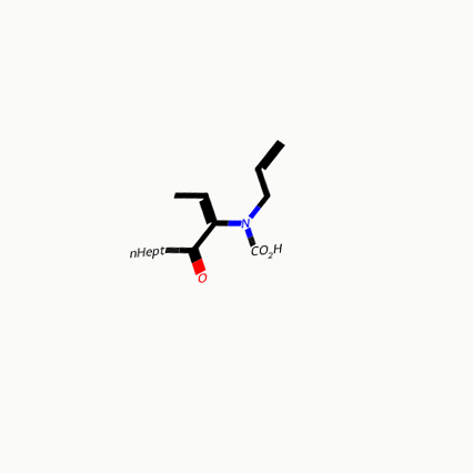 C=CCN(C(=O)O)C(=CC)C(=O)CCCCCCC